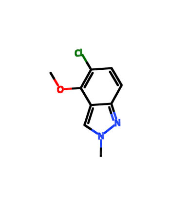 COc1c(Cl)ccc2nn(C)cc12